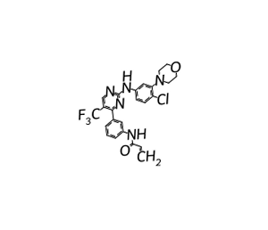 C=CC(=O)Nc1cccc(-c2nc(Nc3ccc(Cl)c(N4CCOCC4)c3)ncc2C(F)(F)F)c1